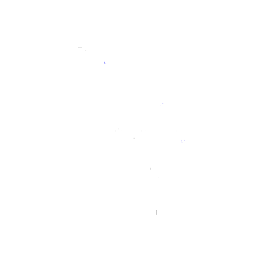 C/C=C\CC/C=C\C/C=C\C/C=C\C/C=C\C/C=C\CCC(=O)OCC